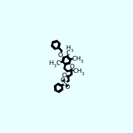 Cc1c(C)c2c(c(C)c1OCc1ccccc1)CC[C@@](C)(CC(=O)CS(=O)(=O)c1ccccc1)O2